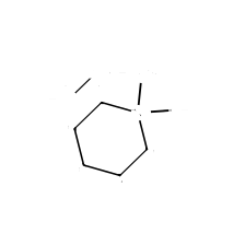 CCC[N+]1(C)CCCCC1.CS(=O)(=O)O